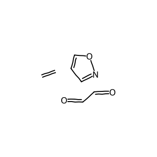 C=C.O=CC=O.c1cnoc1